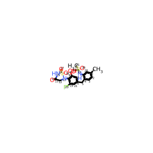 Cc1ccc(Cc2cc(O)c(N3CC(=O)NS3(=O)=O)c(F)c2)c(NS(C)(=O)=O)c1